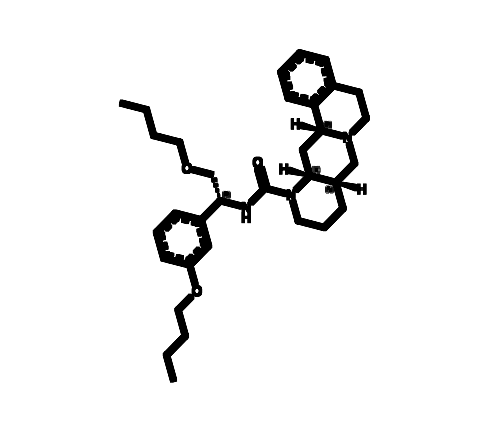 CCCCOC[C@H](NC(=O)N1CCC[C@H]2CN3CCc4ccccc4[C@H]3C[C@H]21)c1cccc(OCCCC)c1